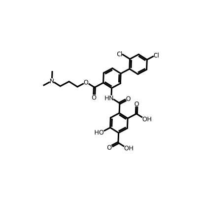 CN(C)CCCOC(=O)c1ccc(-c2ccc(Cl)cc2Cl)cc1NC(=O)c1cc(O)c(C(=O)O)cc1C(=O)O